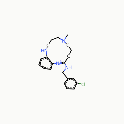 CN1CCCNc2ccccc2/N=C(/NCc2cccc(Cl)c2)CCC1